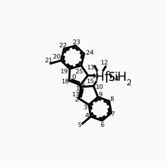 CC1=Cc2c(C)cccc2[CH]1[Hf]([CH3])([CH3])(=[SiH2])[CH]1C(C)=Cc2c(C)cccc21